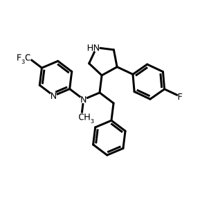 CN(c1ccc(C(F)(F)F)cn1)C(Cc1ccccc1)C1CNCC1c1ccc(F)cc1